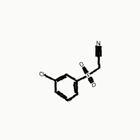 N#CCS(=O)(=O)c1cccc(Cl)c1